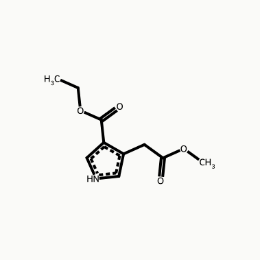 CCOC(=O)c1c[nH]cc1CC(=O)OC